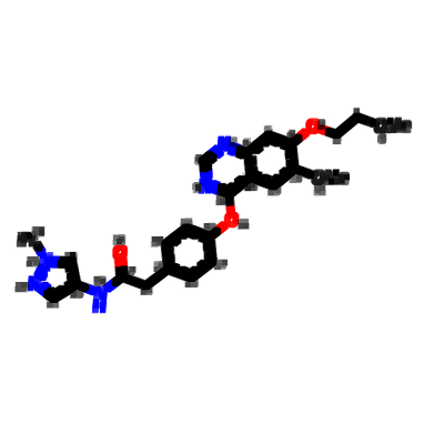 COCCOc1cc2ncnc(Oc3ccc(CC(=O)Nc4cnn(C(C)C)c4)cc3)c2cc1OC